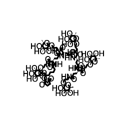 C[C@@H]1O[C@@H](OCCNC(=O)CC[C@H](NC(=O)CC[C@H](NC(=O)CC[C@H](NC(=O)CC[C@H](NC(=O)CCCCC(=O)ON2C(=O)CCC2=O)C(=O)NCCO[C@@H]2O[C@@H](C)[C@@H](O)[C@@H](O)[C@@H]2O)C(=O)NCCO[C@@H]2O[C@@H](C)[C@@H](O)[C@@H](O)[C@@H]2O)C(=O)NCCO[C@@H]2O[C@@H](C)[C@@H](O)[C@@H](O)[C@@H]2O)C(=O)NCCO[C@@H]2O[C@@H](C)[C@@H](O)[C@@H](O)[C@@H]2O)[C@@H](O)[C@H](O)[C@@H]1O